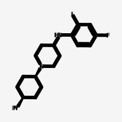 CC(C)[C@H]1CC[C@@H](N2CCC(Nc3ccc(F)cc3I)CC2)CC1